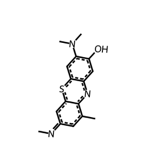 CN=c1cc2sc3cc(N(C)C)c(O)cc3nc-2c(C)c1